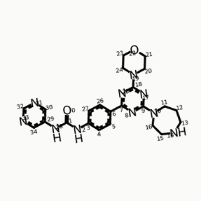 O=C(Nc1ccc(-c2nc(N3CCCNCC3)nc(N3CCOCC3)n2)cc1)Nc1cncnc1